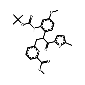 COC(=O)c1cccc(CC(C(=O)c2ccc(C)s2)c2ccc(OC)cc2NC(=O)OC(C)(C)C)n1